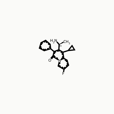 C[C@H](N)c1c(-c2ccccc2)c(=O)n2cc(F)ccc2c1C1CC1